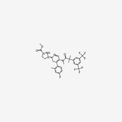 COC(=O)[C@@H]1CC[C@H](C2CC(c3ccc(F)cc3C)=C(N(C)C(=O)C(C)(C)c3cc(C(F)(F)F)cc(C(F)(F)F)c3)C=N2)N1